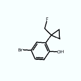 Oc1ccc(Br)cc1C1(CF)CC1